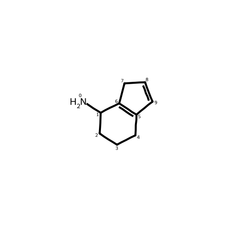 NC1CCCC2=C1CC=C2